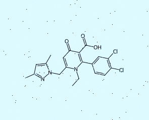 CCn1c(Cn2nc(C)cc2C)cc(=O)c(C(=O)O)c1-c1ccc(Cl)c(Cl)c1